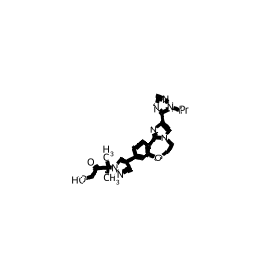 CC(C)n1ncnc1-c1cn2c(n1)-c1ccc(-c3cnn(C(C)(C)C(=O)CO)c3)cc1OCC2